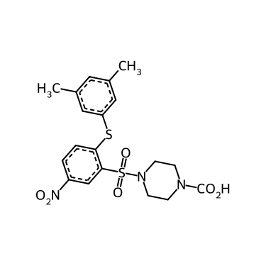 Cc1cc(C)cc(Sc2ccc([N+](=O)[O-])cc2S(=O)(=O)N2CCN(C(=O)O)CC2)c1